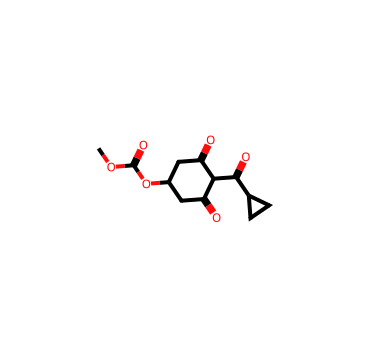 COC(=O)OC1CC(=O)C(C(=O)C2CC2)C(=O)C1